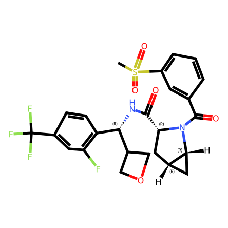 CS(=O)(=O)c1cccc(C(=O)N2[C@@H](C(=O)N[C@@H](c3ccc(C(F)(F)F)cc3F)C3COC3)C[C@H]3C[C@H]32)c1